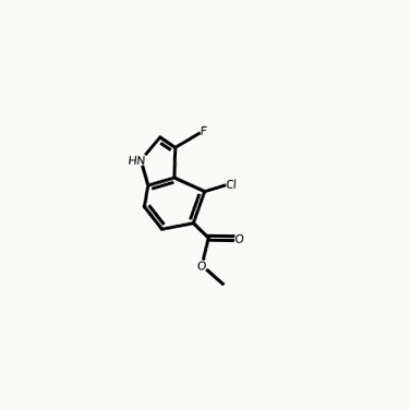 COC(=O)c1ccc2[nH]cc(F)c2c1Cl